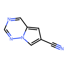 N#Cc1cc2cncnn2c1